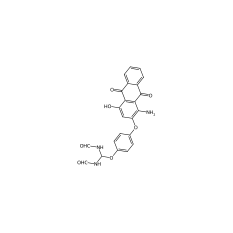 Nc1c(Oc2ccc(OC(NC=O)NC=O)cc2)cc(O)c2c1C(=O)c1ccccc1C2=O